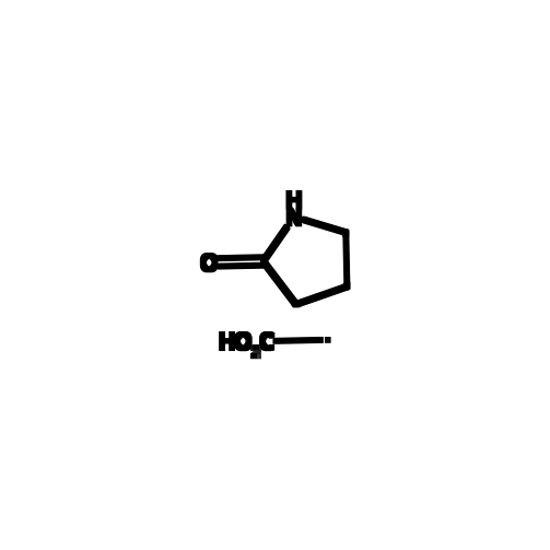 O=C1CCCN1.[CH2]C(=O)O